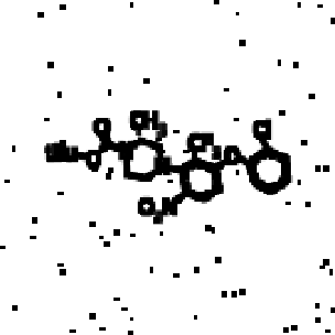 C[C@@H]1CN(c2c([N+](=O)[O-])ccc(Oc3ccccc3Cl)c2C(F)(F)F)CCN1C(=O)OC(C)(C)C